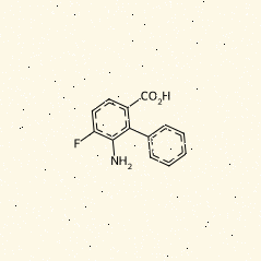 Nc1c(F)ccc(C(=O)O)c1-c1ccccc1